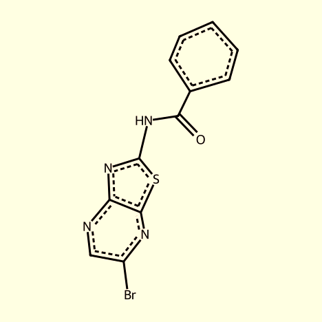 O=C(Nc1nc2ncc(Br)nc2s1)c1ccccc1